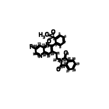 CS(=O)(=O)c1ccccc1-c1nc2cc(F)cnc2cc1CCN1C(=O)c2ccccc2C1=O